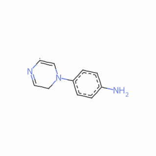 Nc1ccc(N2C=[C]N=CC2)cc1